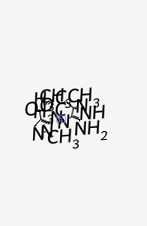 COC(=O)c1cnn(C)c1/N=N/c1c(C(C)(C)C)n[nH]c1N